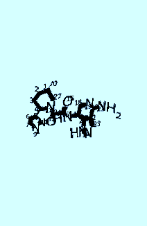 C[C@H]1CC[C@H](c2ccn(C)n2)N(C(=O)C(=O)Nc2cnc(N)c3cn[nH]c23)C1